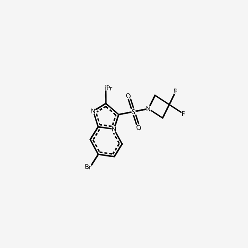 CC(C)c1nc2cc(Br)ccn2c1S(=O)(=O)N1CC(F)(F)C1